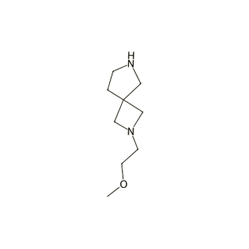 COCCN1CC2(CCNC2)C1